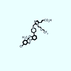 C[C@]1(c2ccc(Cl)cc2F)Oc2cccc(C3CCN(Cc4ncc(/C=C/C(=O)O)n4CCOCC(F)(F)F)CC3)c2O1